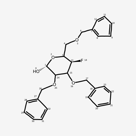 O[C@@H]1OC(COCc2ccccc2)[C@@H](F)C(OCc2ccccc2)C1OCc1ccccc1